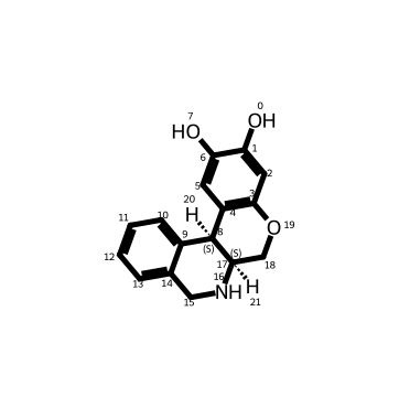 Oc1cc2c(cc1O)[C@@H]1c3ccccc3CN[C@@H]1CO2